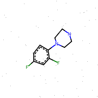 Fc1ccc(N2CC[N]CC2)c(F)c1